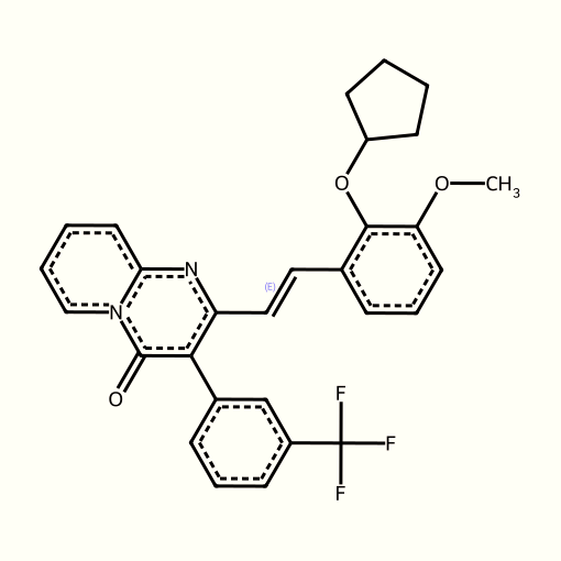 COc1cccc(/C=C/c2nc3ccccn3c(=O)c2-c2cccc(C(F)(F)F)c2)c1OC1CCCC1